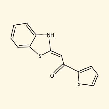 O=C(/C=C1/Nc2ccccc2S1)c1cccs1